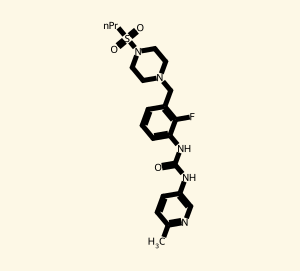 CCCS(=O)(=O)N1CCN(Cc2cccc(NC(=O)Nc3ccc(C)nc3)c2F)CC1